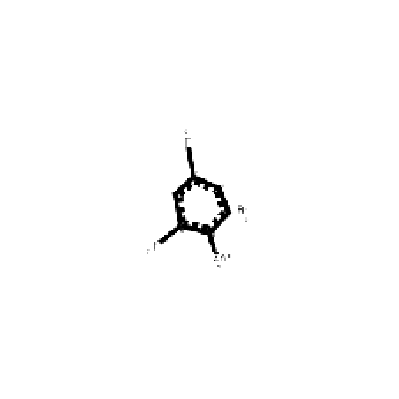 Fc1cc[c]([Zn+])c(F)c1.[Br-]